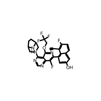 C#Cc1c(F)ccc2cc(O)cc(-c3nc(OCC(F)(F)F)c4c(N5CC6CCC(C5)N6)ncnc4c3F)c12